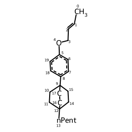 C/C=C/COc1ccc(C23CCC(CCCCC)(CC2)CC3)cc1